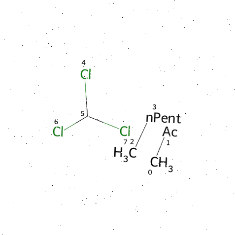 CC(C)=O.CCCCCC.ClC(Cl)Cl